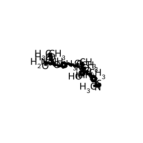 Cc1ncsc1-c1ccc([C@H](C)NC(=O)[C@@H]2C[C@@H](O)CN2C(=O)[C@@H](NC(=O)CCCCc2ccc(COCC(CCC(N)=O)NC(=O)OC(C)(C)C)cc2)C(C)(C)C)cc1